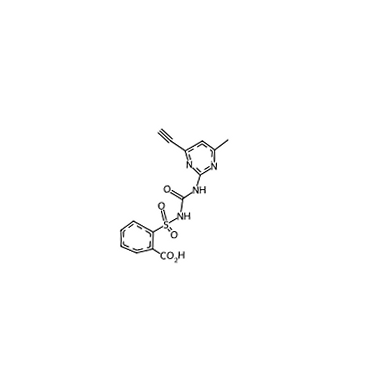 C#Cc1cc(C)nc(NC(=O)NS(=O)(=O)c2ccccc2C(=O)O)n1